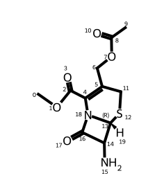 COC(=O)C1=C(COC(C)=O)CS[C@@H]2C(N)C(=O)N12